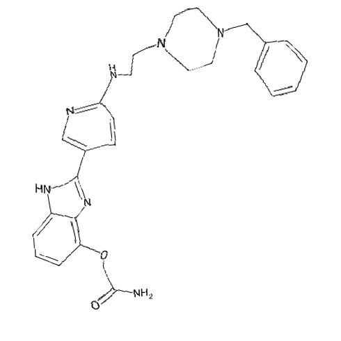 NC(=O)Oc1cccc2[nH]c(-c3ccc(NCCN4CCN(Cc5ccccc5)CC4)nc3)nc12